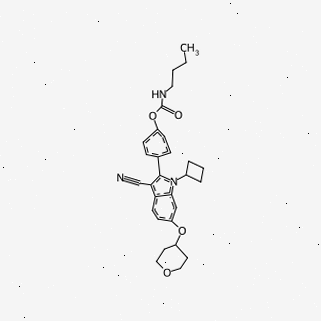 CCCCNC(=O)Oc1ccc(-c2c(C#N)c3ccc(OC4CCOCC4)cc3n2C2CCC2)cc1